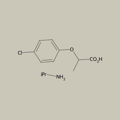 CC(C)N.CC(Oc1ccc(Cl)cc1)C(=O)O